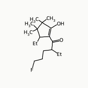 CCC(CCCF)C(=O)C1=C(O)C(C)(C)C(C)(C)C1CC